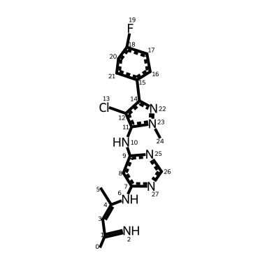 CC(=N)/C=C(/C)Nc1cc(Nc2c(Cl)c(-c3ccc(F)cc3)nn2C)ncn1